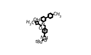 Cc1ccc(-c2cccc(N(CC34CCC(c5noc(C(C)(C)C)n5)(CC3)CC4)C(=O)C3CC(C)(O)C3)c2)cc1